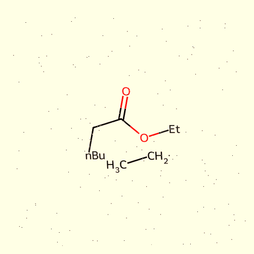 CCCCCC(=O)OCC.[CH2]C